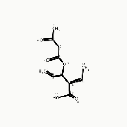 C=CC(OC(=O)CC(C)=O)/C(=C\C)C(=O)O